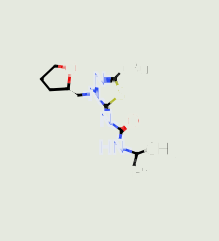 CC(C)C(C)NC(=O)/N=c1\sc(C(C)(C)C)nn1C[C@H]1CCCO1